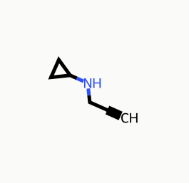 C#CCNC1CC1